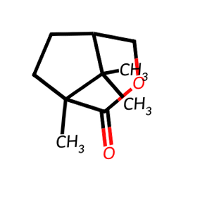 CC12CCC(COC1=O)C2(C)C